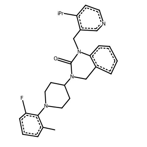 Cc1cccc(F)c1N1CCC(N2Cc3ccccc3N(Cc3cnccc3C(C)C)C2=O)CC1